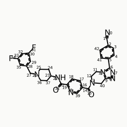 N#Cc1ccc(-c2nnc3n2CCN(C(=O)c2ccc(C(=O)NC4CCN(Cc5cc(F)cc(F)c5)CC4)nc2)C3)cc1